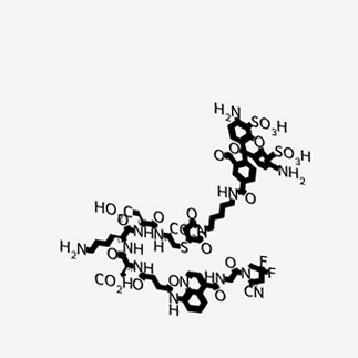 N#C[C@@H]1CC(F)(F)CN1C(=O)CNC(=O)c1ccnc2c(NC(=O)CCC(=O)N[C@@H](CC(=O)O)C(=O)N[C@@H](CCCCN)C(=O)N[C@@H](CC(=O)O)C(=O)N[C@@H](CSC3CC(=O)N(CCCCCNC(=O)c4ccc5c(c4)C(=O)OC54c5ccc(N)c(S(=O)(=O)O)c5Oc5c4ccc(N)c5S(=O)(=O)O)C3=O)C(=O)O)cccc12